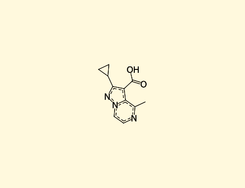 Cc1nccn2nc(C3CC3)c(C(=O)O)c12